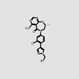 CC(C)Cn1cc(-c2ccc(N3C[C@@H](C)Oc4ncnc(N)c4C3=O)cc2Cl)cn1